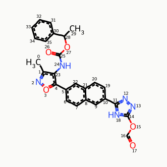 Cc1noc(-c2ccc3cc(-c4nnc(OC=O)[nH]4)ccc3c2)c1NC(=O)OC(C)c1ccccc1